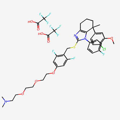 COc1cc(C2(C)CCCc3nc(SCc4c(F)cc(OCCOCCOCCN(C)C)cc4F)n(-c4ccc(F)cc4)c32)ccc1Cl.O=C(O)C(F)(F)F.O=C(O)C(F)(F)F